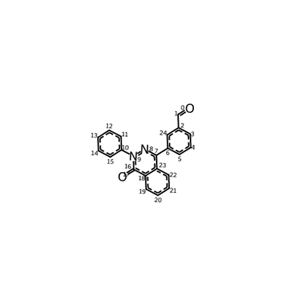 O=Cc1cccc(-c2nn(-c3ccccc3)c(=O)c3ccccc23)c1